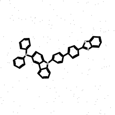 c1ccc(N(c2ccccc2)c2ccc3c(c2)c2ccccc2n3-c2ccc(-c3ccc(-c4nc5ccccc5o4)cc3)cc2)cc1